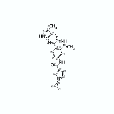 Cc1c[nH]c2ncc(N[C@@H](C)c3cccc(NC(=O)c4cnn(C5CC5)c4)c3)nc12